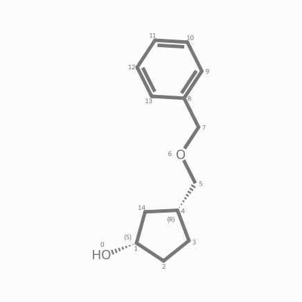 O[C@H]1CC[C@@H](COCc2ccccc2)C1